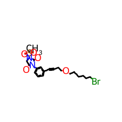 CS(=O)(=O)N1CC(=O)N(c2cccc(C#CCCOCCCCCCBr)c2)C1=O